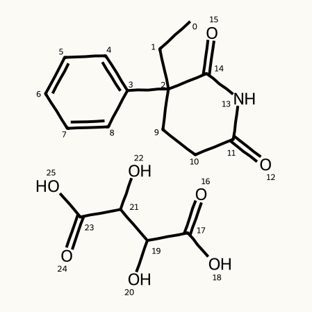 CCC1(c2ccccc2)CCC(=O)NC1=O.O=C(O)C(O)C(O)C(=O)O